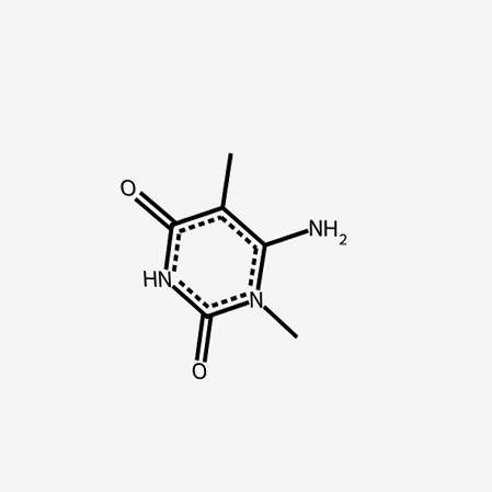 Cc1c(N)n(C)c(=O)[nH]c1=O